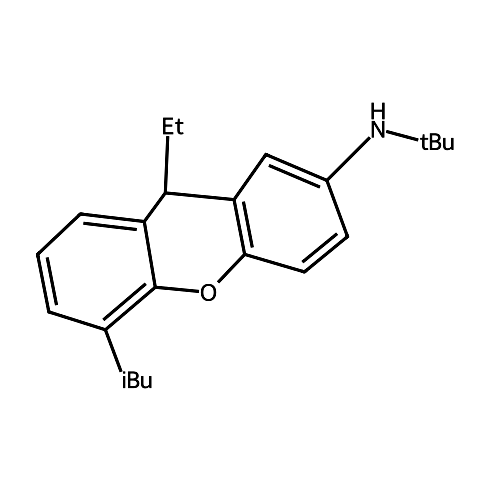 CCC(C)c1cccc2c1Oc1ccc(NC(C)(C)C)cc1C2CC